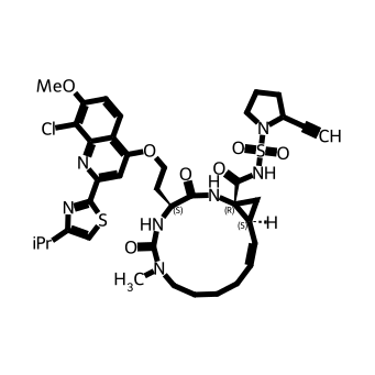 C#CC1CCCN1S(=O)(=O)NC(=O)[C@@]12C[C@H]1C=CCCCCN(C)C(=O)N[C@@H](CCOc1cc(-c3nc(C(C)C)cs3)nc3c(Cl)c(OC)ccc13)C(=O)N2